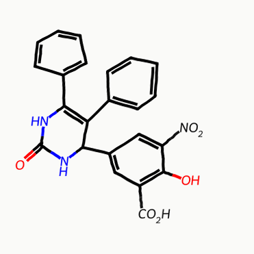 O=C1NC(c2ccccc2)=C(c2ccccc2)C(c2cc(C(=O)O)c(O)c([N+](=O)[O-])c2)N1